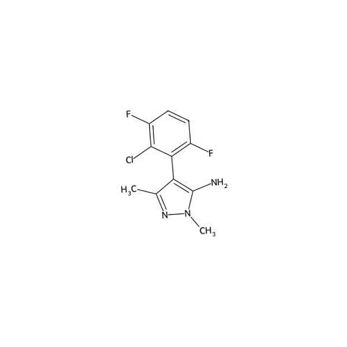 Cc1nn(C)c(N)c1-c1c(F)ccc(F)c1Cl